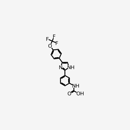 O=C(O)Nc1cccc(-c2nc(-c3ccc(OC(F)(F)F)cc3)c[nH]2)c1